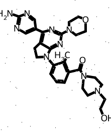 Cc1c(C(=O)N2CCN(CCO)CC2)cccc1N1CCc2c(-c3cnc(N)nc3)nc(N3CCOCC3)nc21